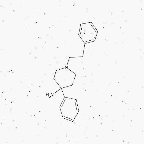 NC1(c2ccccc2)CCN(CCc2ccccc2)CC1